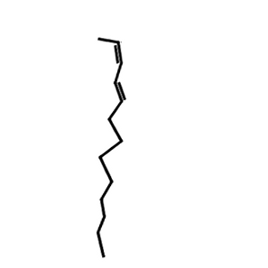 C/[C]=C\C=C\CCCCCCCC